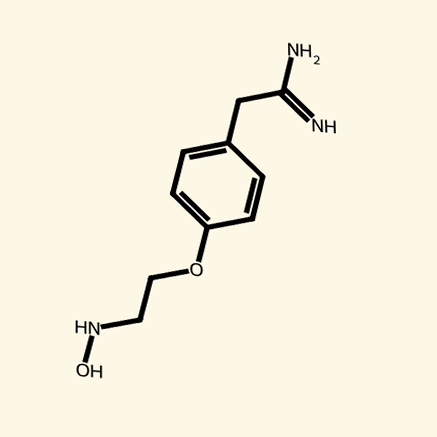 N=C(N)Cc1ccc(OCCNO)cc1